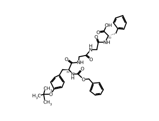 CC(C)(C)Oc1ccc(C[C@H](NC(=O)OCc2ccccc2)C(=O)NCC(=O)NCC(=O)N[C@@H](Cc2ccccc2)C(=O)O)cc1